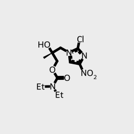 CCN(CC)C(=O)OC[C@](C)(O)Cn1cc([N+](=O)[O-])nc1Cl